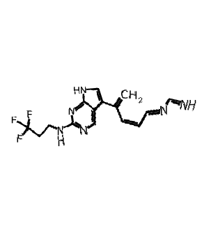 C=C(/C=C\C=N\C=N)c1c[nH]c2nc(NCCC(F)(F)F)ncc12